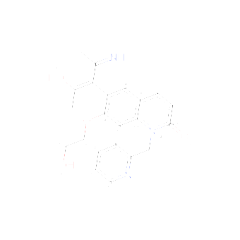 CC(=N)/C(=C(/C)O)c1cc2ccc(=O)n(Cc3ccccn3)c2cc1OCCO